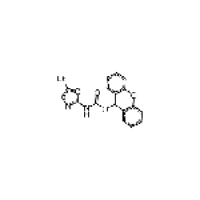 CCc1cnc(NC(=O)OC2c3ccccc3Oc3ccccc32)o1